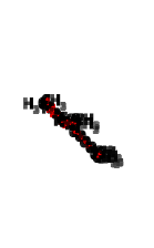 CN(C)c1ccc(-c2ccc(-c3nc4ccc(N(CCOCCOCCOCCOCCO[Si](C)(C)C(C)(C)C)C(=O)OC(C)(C)C)cc4s3)cc2)cn1